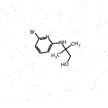 CC(C)(CO)Nc1cccc(Br)n1